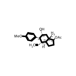 C=C[C@@H]1[C@H](c2ccc(OC)cc2)[C@H](O)C[C@]2(C)[C@@H](OC(C)=O)CC[C@@H]12